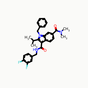 CC(C)c1c(C(=O)NCc2ccc(F)c(F)c2)c2ccc(C(=O)N(C)C)cc2n1Cc1ccccc1